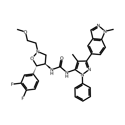 COCCN1C[C@@H](NC(=O)Nc2c(C)c(-c3ccc4c(cnn4C)c3)nn2-c2ccccc2)[C@H](c2ccc(F)c(F)c2)O1